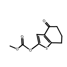 COC(=O)Oc1cc2c(s1)CCCC2=O